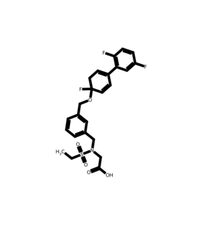 CCS(=O)(=O)N(CC(=O)O)Cc1cccc(COC2(F)C=CC(c3cc(F)ccc3F)=CC2)c1